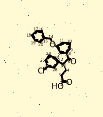 O=C(O)CC[C@H](C(=O)c1cccc(OCc2ccccc2)c1)c1cccc(Cl)c1